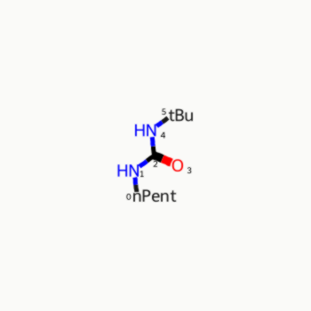 CCCCCNC(=O)NC(C)(C)C